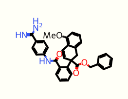 COc1cccc2c1C=CC(C(=O)OCc1ccccc1)(c1ccccc1C(=O)Nc1ccc(C(=N)N)cc1)C2